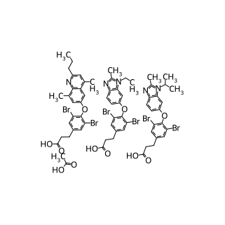 CC(=O)O.CCCc1cc(C)c2cc(Oc3c(Br)cc(CCC(=O)O)cc3Br)cc(C)c2n1.CCn1c(C)nc2ccc(Oc3c(Br)cc(CCC(=O)O)cc3Br)cc21.Cc1nc2ccc(Oc3c(Br)cc(CCC(=O)O)cc3Br)cc2n1C(C)C